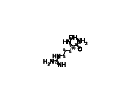 N=C(N)NCCC[C@H](NO)C(N)=O